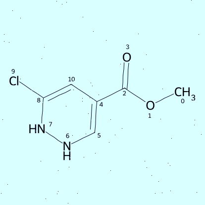 COC(=O)C1=CNNC(Cl)=C1